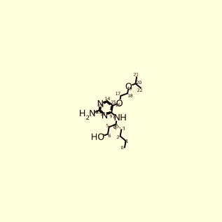 CCCC[C@H](CCO)Nc1nc(N)ncc1OCCOC(C)C